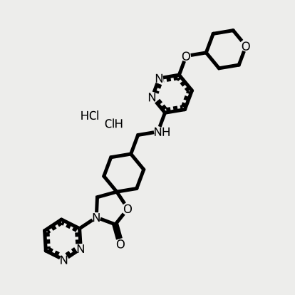 Cl.Cl.O=C1OC2(CCC(CNc3ccc(OC4CCOCC4)nn3)CC2)CN1c1cccnn1